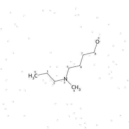 CCCN(C)CCCC[O]